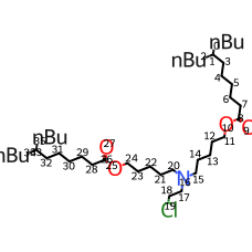 CCCCC(CCCC)CCCCCC(=O)OCCCCCN(CCCl)CCCCCOC(=O)CCCCCC(CCCC)CCCC